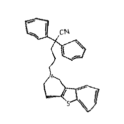 N#CC(CCCN1CCc2sc3ccccc3c2C1)(c1ccccc1)c1ccccc1